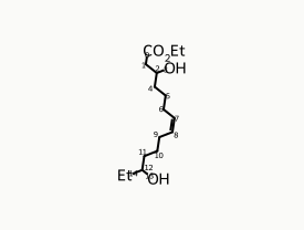 CCOC(=O)CC(O)CCC/C=C\CCCC(O)CC